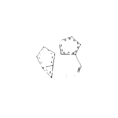 C=Cc1ccoc1.c1cc2cc-2c1